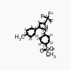 Cc1ccc(-c2cc(C(F)(F)F)nn2-c2ccc(S(C)(=O)=O)cc2)cc1